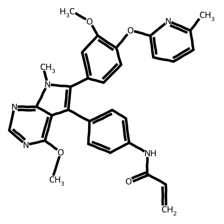 C=CC(=O)Nc1ccc(-c2c(-c3ccc(Oc4cccc(C)n4)c(OC)c3)n(C)c3ncnc(OC)c23)cc1